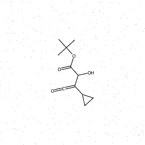 CC(C)(C)OC(=O)C(O)C(=C=O)C1CC1